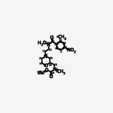 Cc1cc([N+](=O)[O-])ccc1C(=O)N(C)CCN1CCOC(CN(C)C(=O)OC(C)(C)C)C1